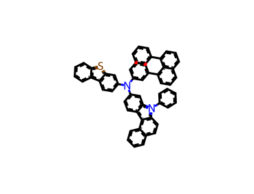 c1ccc(-c2cccc3cccc(-c4cccc(N(c5ccc6c(c5)sc5ccccc56)c5ccc6c7c8ccccc8ccc7n(-c7ccccc7)c6c5)c4)c23)cc1